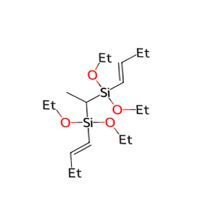 CCC=C[Si](OCC)(OCC)C(C)[Si](C=CCC)(OCC)OCC